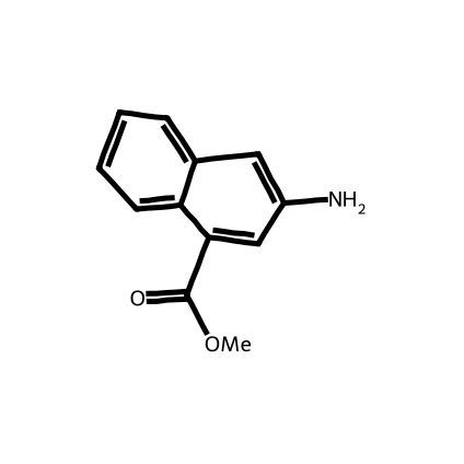 COC(=O)c1cc(N)cc2ccccc12